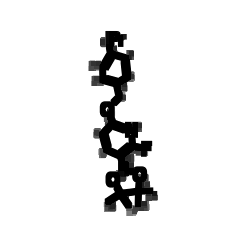 CC(C)c1ccc(COc2ccc(B3OC(C)(C)C(C)(C)O3)c(F)n2)cc1